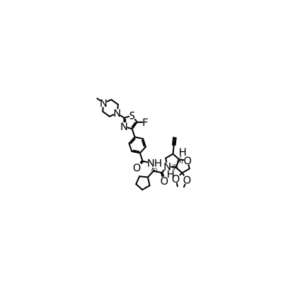 C#CC1CN(C(=O)[C@@H](NC(=O)c2ccc(-c3nc(N4CCN(C)CC4)sc3F)cc2)C2CCCC2)[C@H]2[C@@H]1OCC2(OC)OC